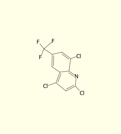 FC(F)(F)c1cc(Cl)c2nc(Cl)cc(Cl)c2c1